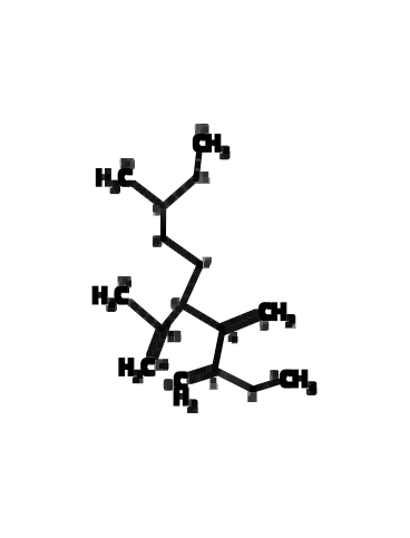 C=C(CC)C(=C)C(CCC(C)CC)C(=C)C